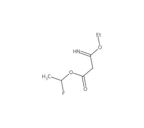 CCOC(=N)CC(=O)OC(C)F